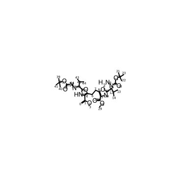 C=C(OC)C1=C(CCc2oc(C(C(C)C)N(N)C(=O)OC(C)(C)C)nc2C(=O)OC)OC(C(N=NC(=O)OC(C)(C)C)C(C)C)N1